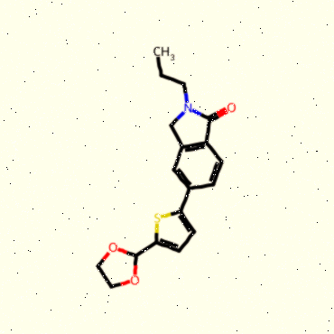 CCCN1Cc2cc(-c3ccc(C4OCCO4)s3)ccc2C1=O